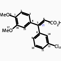 COc1ccc(/C(=C/C(=O)O)c2cccc(Cl)c2)cc1OC